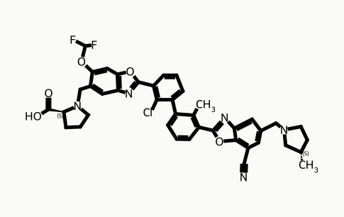 Cc1c(-c2nc3cc(CN4CC[C@H](C)C4)cc(C#N)c3o2)cccc1-c1cccc(-c2nc3cc(CN4CCC[C@H]4C(=O)O)c(OC(F)F)cc3o2)c1Cl